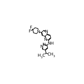 CC(C)c1cnnc(Nc2ccc3ncc(N4CCC(F)(F)CC4)cc3n2)c1